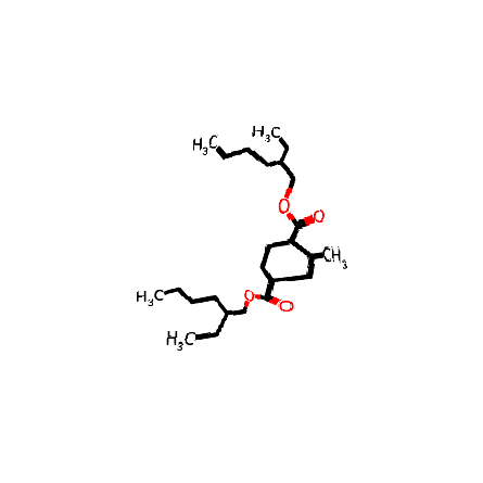 CCCCC(CC)COC(=O)C1CCC(C(=O)OCC(CC)CCCC)C(C)C1